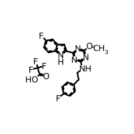 COc1nc(NCCc2ccc(F)cc2)nc(-c2cc3cc(F)ccc3[nH]2)n1.O=C(O)C(F)(F)F